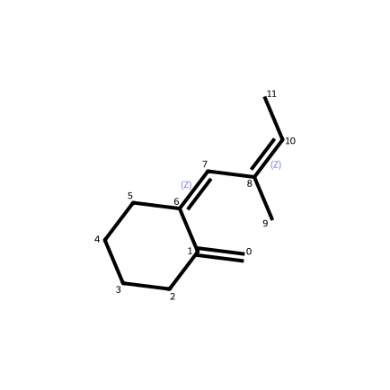 C=C1CCCC/C1=C/C(C)=C\C